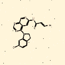 CC=CC(=O)Nc1cc2c(N3CCc4ccc(Cl)cc43)ncnc2cn1